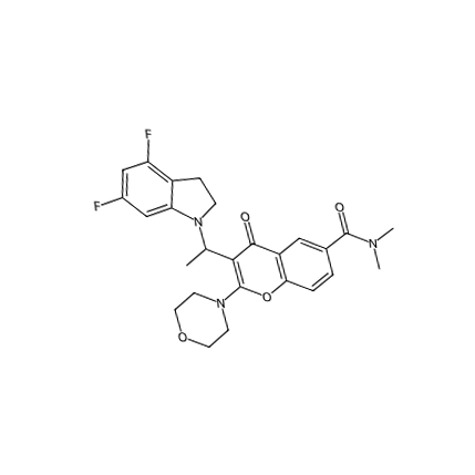 CC(c1c(N2CCOCC2)oc2ccc(C(=O)N(C)C)cc2c1=O)N1CCc2c(F)cc(F)cc21